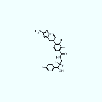 Cc1c(C(=O)NCC(F)(F)C(O)c2ccc(F)cc2)ccc(-c2ccn3nc(N)nc3c2)c1F